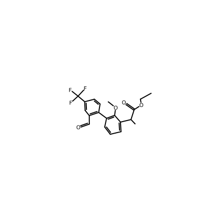 CCOC(=O)C(C)c1cccc(-c2ccc(C(F)(F)F)cc2C=O)c1OC